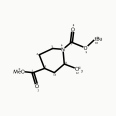 COC(=O)C1CCN(C(=O)OC(C)(C)C)C(C(F)(F)F)C1